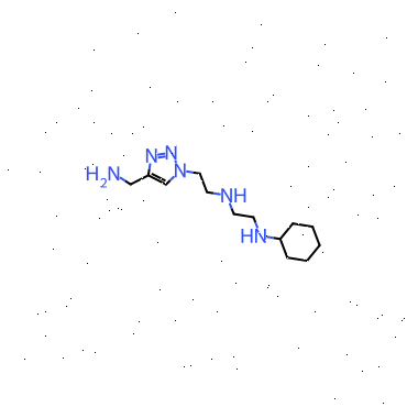 NCc1cn(CCNCCNC2CCCCC2)nn1